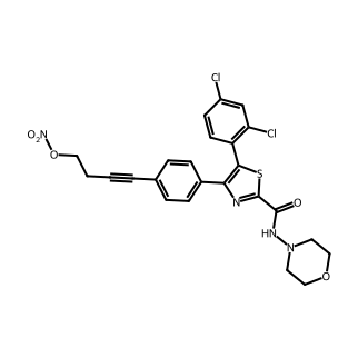 O=C(NN1CCOCC1)c1nc(-c2ccc(C#CCCO[N+](=O)[O-])cc2)c(-c2ccc(Cl)cc2Cl)s1